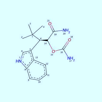 CC(C)(C)[C@H](c1c[nH]c2ccccc12)C(OC(N)=O)C(N)=O